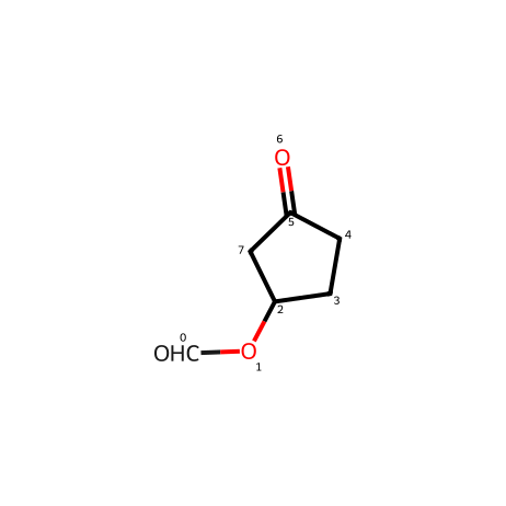 O=COC1CCC(=O)C1